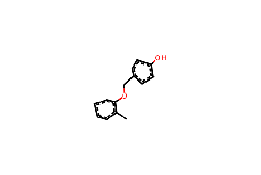 Cc1ccccc1OCc1c[c]c(O)cc1